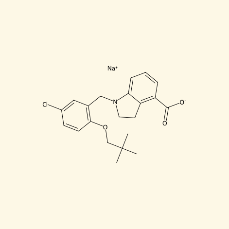 CC(C)(C)COc1ccc(Cl)cc1CN1CCc2c(C(=O)[O-])cccc21.[Na+]